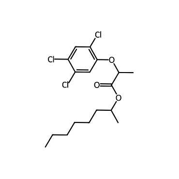 CCCCCCC(C)OC(=O)C(C)Oc1cc(Cl)c(Cl)cc1Cl